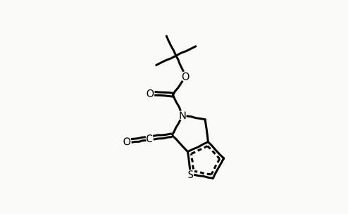 CC(C)(C)OC(=O)N1Cc2ccsc2C1=C=O